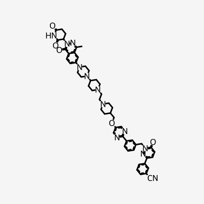 Cc1nn(C2CCC(=O)NC2=O)c(=O)c2ccc(N3CCN(C4CCN(CCN5CCC(COc6cnc(-c7cccc(Cn8nc(-c9cccc(C#N)c9)ccc8=O)c7)nc6)CC5)CC4)CC3)cc12